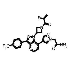 C=C(F)C(=O)N1CC(n2nc(-c3ccc(C(F)(F)F)cc3)c3nccc(-c4cnn(CC(N)=O)c4)c32)C1